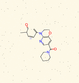 C=C(/C=C\C(C)C=O)N1CCOc2cc(C(=O)N3CCCCC3)cnc21